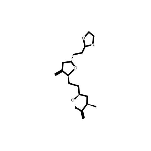 C=C(I)[C@H](C)C[C@@H](Cl)CC[C@@H]1O[C@@H](CCC2OCCO2)CC1=C